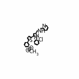 CS(=O)(=O)c1cccc(-c2ccc(-c3cc(CNCc4ccccn4)nn3-c3ccccc3Cl)s2)c1